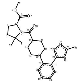 COC(=O)[C@@H]1CCC(C)(C)N1C(=O)C1CCN(c2cnccc2-c2nnc(C)s2)CC1